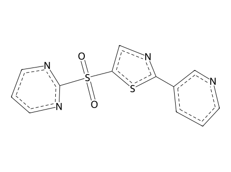 O=S(=O)(c1ncccn1)c1cnc(-c2cccnc2)s1